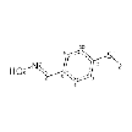 CSc1ccc(C=NO)cc1